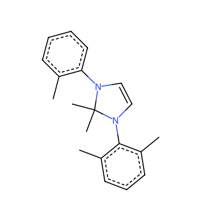 Cc1ccccc1N1C=CN(c2c(C)cccc2C)C1(C)C